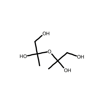 CC(O)(CO)OC(C)(O)CO